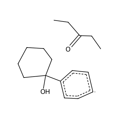 CCC(=O)CC.OC1(c2cc[c]cc2)CCCCC1